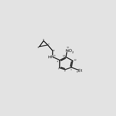 CCc1ccc(NCC2CC2)c([N+](=O)[O-])c1